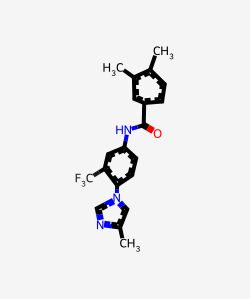 Cc1cn(-c2ccc(NC(=O)c3ccc(C)c(C)c3)cc2C(F)(F)F)cn1